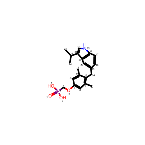 Cc1cc(OCP(=O)(O)O)cc(C)c1Cc1ccc2[nH]cc(C(C)C)c2c1